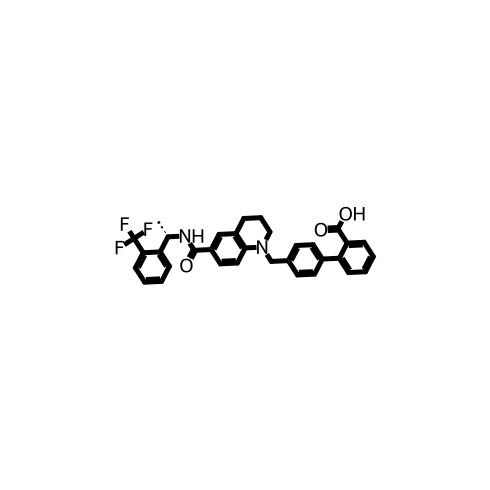 C[C@H](NC(=O)c1ccc2c(c1)CCCN2Cc1ccc(-c2ccccc2C(=O)O)cc1)c1ccccc1C(F)(F)F